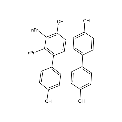 CCCc1c(O)ccc(-c2ccc(O)cc2)c1CCC.Oc1ccc(-c2ccc(O)cc2)cc1